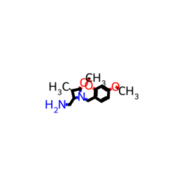 COc1ccc(CN2C(=O)[C@@H](C)C2CN)c(OC)c1